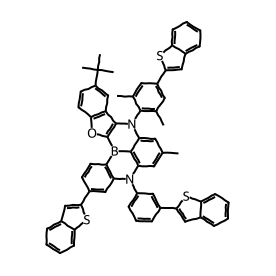 Cc1cc2c3c(c1)N(c1c(C)cc(-c4cc5ccccc5s4)cc1C)c1c(oc4ccc(C(C)(C)C)cc14)B3c1ccc(-c3cc4ccccc4s3)cc1N2c1cccc(-c2cc3ccccc3s2)c1